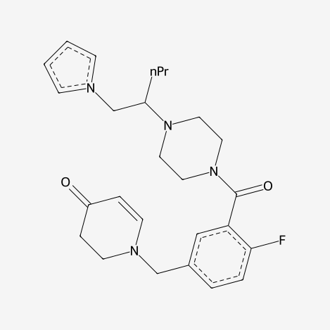 CCCC(Cn1cccc1)N1CCN(C(=O)c2cc(CN3C=CC(=O)CC3)ccc2F)CC1